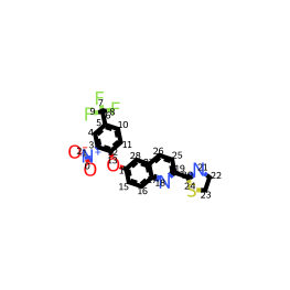 O=[N+]([O-])c1cc(C(F)(F)F)ccc1Oc1ccc2nc(C3=NCCS3)ccc2c1